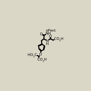 CCCCCNC(=O)C(Cc1ccc(OC(C(=O)O)C(=O)O)cc1)NC(=O)CC(=O)O